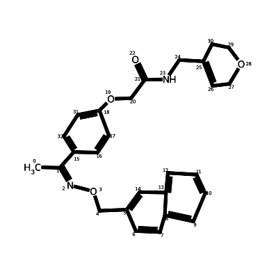 C/C(=N/OCc1ccc2ccccc2c1)c1ccc(OCC(=O)NCC2=CCOCC2)cc1